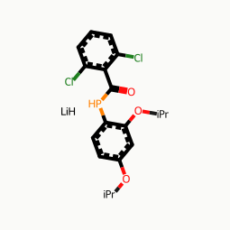 CC(C)Oc1ccc(PC(=O)c2c(Cl)cccc2Cl)c(OC(C)C)c1.[LiH]